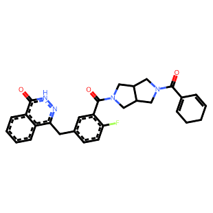 O=C(C1=CCCC=C1)N1CC2CN(C(=O)c3cc(Cc4n[nH]c(=O)c5ccccc45)ccc3F)CC2C1